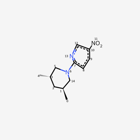 C[C@H]1C[C@H](C)CN(c2ccc([N+](=O)[O-])cn2)C1